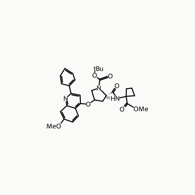 COC(=O)C1(NC(=O)[C@@H]2CC(Oc3cc(-c4ccccc4)nc4cc(OC)ccc34)CN2C(=O)OC(C)(C)C)CCC1